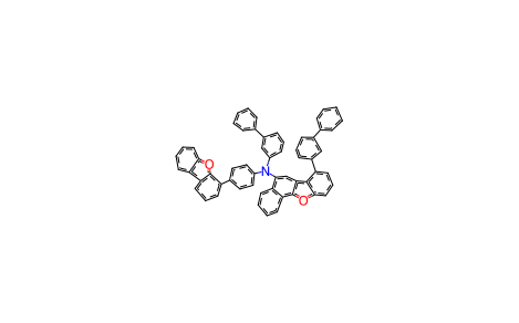 c1ccc(-c2cccc(-c3cccc4oc5c6ccccc6c(N(c6ccc(-c7cccc8c7oc7ccccc78)cc6)c6cccc(-c7ccccc7)c6)cc5c34)c2)cc1